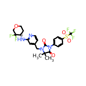 CC1(C)C(=O)N(c2ccc(S(=O)(=O)C(F)(F)F)cc2)C(=O)N1Cc1ccnc(N[C@H]2CCOCC2(F)F)c1